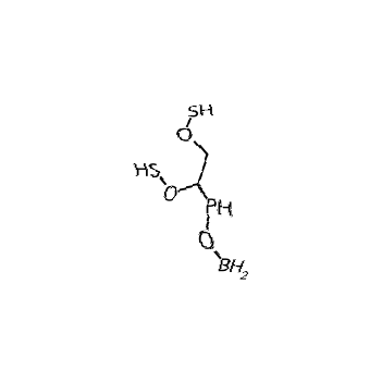 BOPC(COS)OS